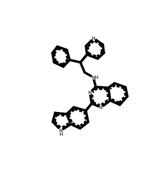 c1ccc(C(CNc2nc(-c3ccc4[nH]ccc4c3)nc3ccccc23)c2cccnc2)cc1